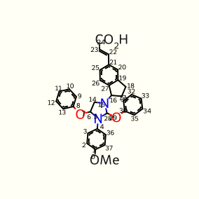 COc1ccc(N2C(Oc3ccccc3)CN(C3CCc4cc(/C=C/C(=O)O)ccc43)C2Oc2ccccc2)cc1